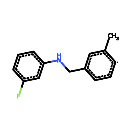 Cc1[c]ccc(CNc2cccc(F)c2)c1